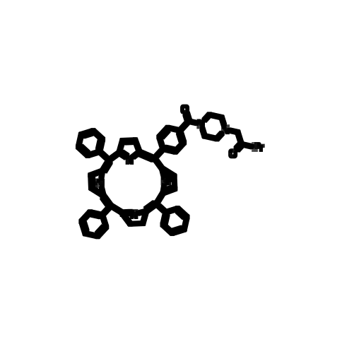 CC(C)C(=O)CN1CCN(C(=O)c2ccc(-c3c4nc(c(-c5ccccc5)c5ccc([nH]5)c(-c5ccccc5)c5nc(c(-c6ccccc6)c6ccc3[nH]6)CC5)C=C4)cc2)CC1